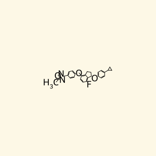 Cc1nc(-c2ccc(Oc3ccc(F)c4c3CCC4Oc3ccc(C4CC4)cc3)cc2)no1